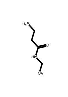 O=C(CCP)NCO